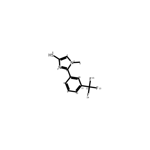 Cn1cc(S)nc1-c1cccc(C(F)(F)F)c1